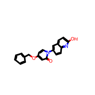 O=c1cc(OCc2ccccc2)ccn1-c1ccc2nc(O)ccc2c1